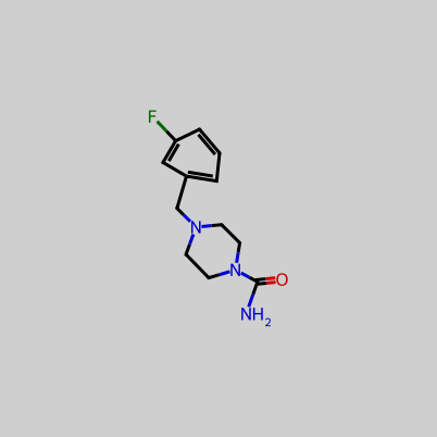 NC(=O)N1CCN(Cc2cccc(F)c2)CC1